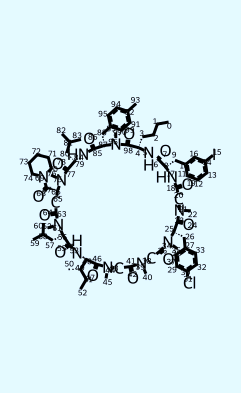 CCCC[C@@H]1NC(=O)[C@H](Cc2cccc(I)c2)NC(=O)CN(C)C(=O)[C@H](Cc2ccc(Cl)cc2)N(C)C(=O)CN(C)C(=O)CN(C)C(=O)[C@H]([C@@H](C)CC)NC(=O)[C@H](CC(C)C)N(C)C(=O)C[C@@H](C(=O)N2CCCCC2)N(C)C(=O)[C@H](CC(C)C)NC(=O)[C@H](Cc2ccc(C)cc2)N(C)C1=O